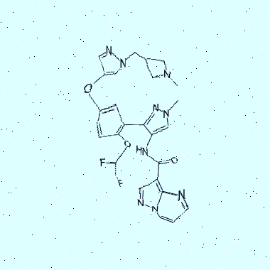 CN1CC(Cn2cc(Oc3ccc(OC(F)F)c(-c4nn(C)cc4NC(=O)c4cnn5cccnc45)c3)cn2)C1